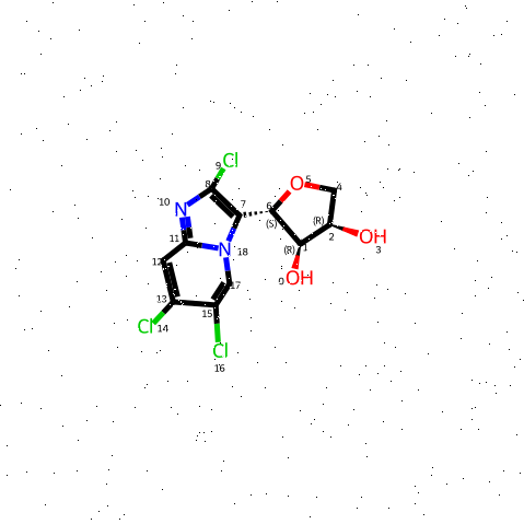 O[C@@H]1[C@H](O)CO[C@H]1c1c(Cl)nc2cc(Cl)c(Cl)cn12